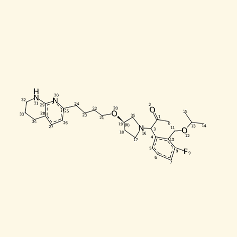 CC(=O)C(c1cccc(F)c1COC(C)C)N1CC[C@@H](OCCCCc2ccc3c(n2)NCCC3)C1